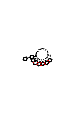 c1ccc(-c2ccc(P3CCCCCCCCCPP(c4ccccc4)P(c4ccccc4)P(c4ccccc4)P(c4ccccc4)P(c4ccccc4)P3c3ccccc3)cc2)cc1